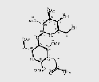 CO[C@H]1O[C@H](COC(C)=O)[C@@H](O[C@@H]2O[C@H](CO)[C@H](O)[C@H](OC(C)=O)[C@H]2OC(C)=O)[C@H](OC(C)=O)[C@@H]1CC(N)=O